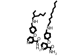 CCCCC(CC)CNCc1ccc(Oc2ccncc2C(N)=O)cc1.CCCCCCCCCCNCc1ccc(Oc2ccncc2C(N)=O)cc1